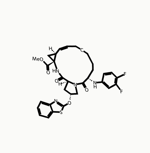 COC(=O)[C@@]12C[C@H]1/C=C\CCCCC[C@H](Nc1ccc(F)c(F)c1)C(=O)N1C[C@H](Oc3nc4ccccc4s3)C[C@H]1C(=O)N2